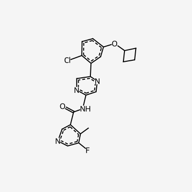 Cc1c(F)cncc1C(=O)Nc1cnc(-c2cc(OC3CCC3)ccc2Cl)cn1